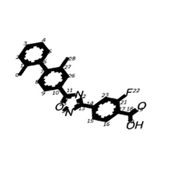 Cc1ccccc1-c1ccc(-c2nc(-c3ccc(C(=O)O)c(F)c3)no2)cc1C